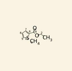 C.CCOC(=O)c1cccs1